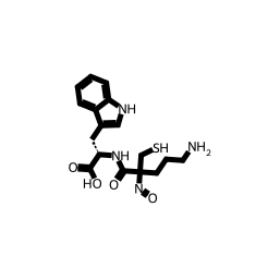 NCCCC(CS)(N=O)C(=O)N[C@@H](Cc1c[nH]c2ccccc12)C(=O)O